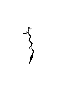 CC#CCOCCCN(C)CC